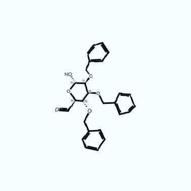 O=C[C@H]1O[C@H](O)[C@@H](OCc2ccccc2)[C@@H](OCc2ccccc2)[C@@H]1OCc1ccccc1